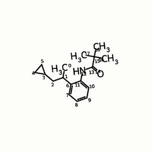 CC(CC1CC1)c1ccccc1NC(=O)C(C)(C)C